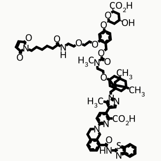 Cc1c(-c2ccc(N3CCc4cccc(C(=O)Nc5nc6ccccc6s5)c4C3)nc2C(=O)O)cnn1CC12CC3(C)CC(C)(C1)CC(OCCN(C)C(=O)OCc1ccc(O[C@H]4C[C@@H](O)C[C@@H](C(=O)O)O4)cc1OCCOCCNC(=O)CCCCCN1C(=O)C=CC1=O)(C3)C2